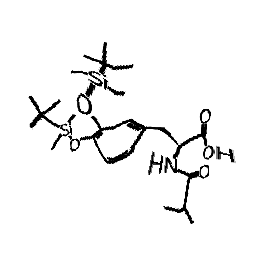 CC(C)C(=O)N[C@@H](Cc1ccc(O[Si](C)(C)C(C)(C)C)c(O[Si](C)(C)C(C)(C)C)c1)C(=O)O